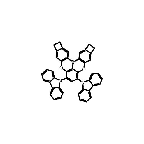 c1ccc2c(c1)c1ccccc1n2-c1cc(-n2c3ccccc3c3ccccc32)c2c3c1Oc1cc4c(cc1B3c1cc3c(cc1O2)CC3)CC4